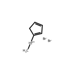 [Br-].[Br-].[CH3][Hf+2][C]1=CC=CC1